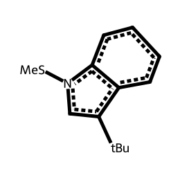 CSn1cc(C(C)(C)C)c2ccccc21